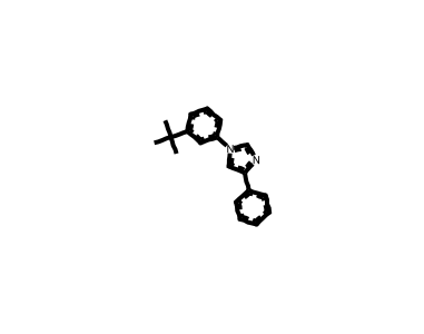 CC(C)(C)c1cccc(-n2cnc(-c3ccccc3)c2)c1